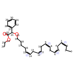 CC/C=C\C/C=C\C/C=C\C/C=C\C/C=C\CCCCOC(C(=O)OCC)c1ccccc1